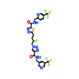 O=C(NCc1cncc(C(F)(F)F)c1)c1cn(CC(F)CCc2nnc(C(=O)NCc3ccc(C(F)(F)F)cn3)s2)nn1